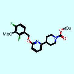 COc1c(F)ccc(COc2cccc(C3CCN(C(=O)OC(C)(C)C)CC3)n2)c1F